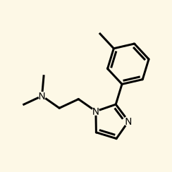 Cc1cccc(-c2nccn2CCN(C)C)c1